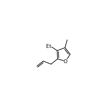 C=CCc1occ(C)c1CC